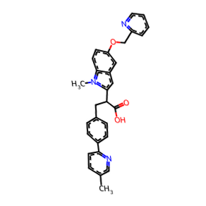 Cc1ccc(-c2ccc(CC(C(=O)O)c3cc4cc(OCc5ccccn5)ccc4n3C)cc2)nc1